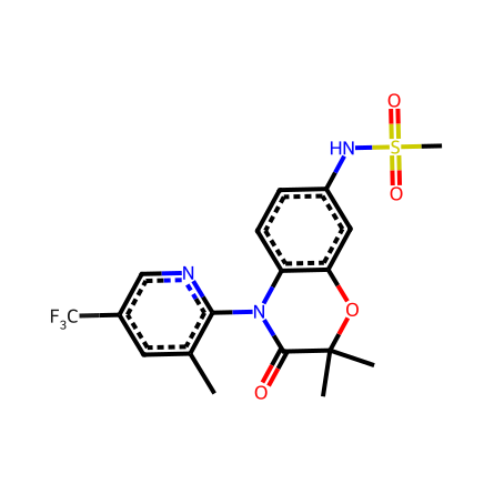 Cc1cc(C(F)(F)F)cnc1N1C(=O)C(C)(C)Oc2cc(NS(C)(=O)=O)ccc21